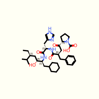 CC[C@@H](C[C@@H](O)[C@H](CC1CCCCC1)NC(=O)[C@H](Cc1c[nH]cn1)NC(=O)[C@@H](CC(=O)[C@@H]1CCCN1C(=O)O)Cc1ccccc1)C(C)C